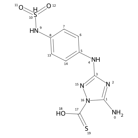 Nc1nc(Nc2ccc(N[SH](=O)=O)cc2)nn1C(O)=S